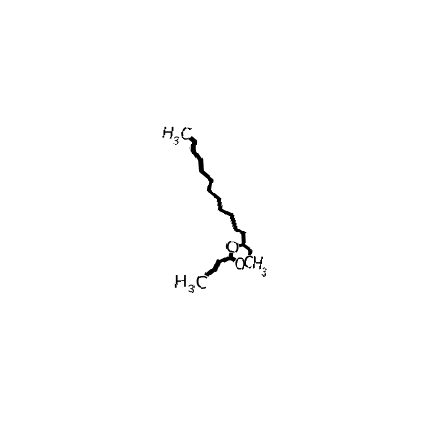 CCCCCCCCCCCCC(CC)OC(=O)CCCC